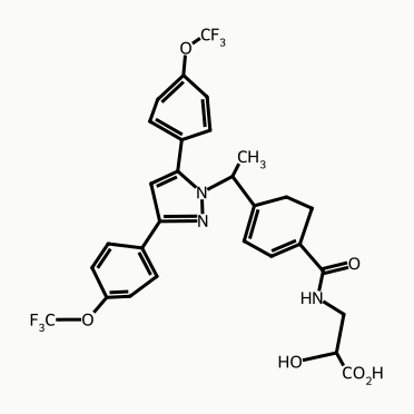 CC(C1=CC=C(C(=O)NCC(O)C(=O)O)CC1)n1nc(-c2ccc(OC(F)(F)F)cc2)cc1-c1ccc(OC(F)(F)F)cc1